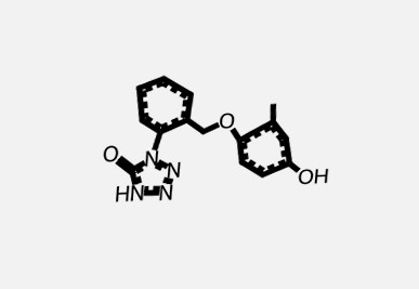 Cc1cc(O)ccc1OCc1ccccc1-n1nn[nH]c1=O